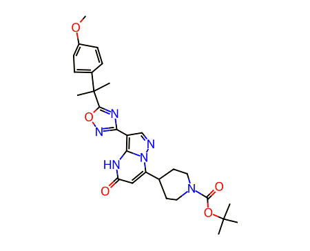 COc1ccc(C(C)(C)c2nc(-c3cnn4c(C5CCN(C(=O)OC(C)(C)C)CC5)cc(=O)[nH]c34)no2)cc1